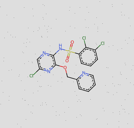 O=S(=O)(Nc1ncc(Cl)nc1OCc1ccccn1)c1cccc(Cl)c1Cl